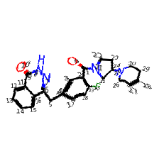 O=C(c1cc(Cc2n[nH]c(=O)c3ccccc23)ccc1F)N1CCC(N2CCCCC2)C1